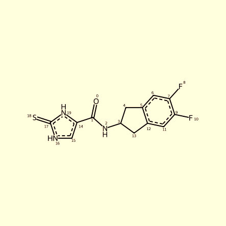 O=C(NC1Cc2cc(F)c(F)cc2C1)c1c[nH]c(=S)[nH]1